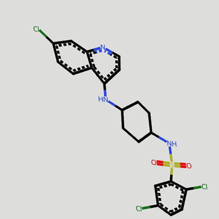 O=S(=O)(NC1CCC(Nc2ccnc3cc(Cl)ccc23)CC1)c1cc(Cl)ccc1Cl